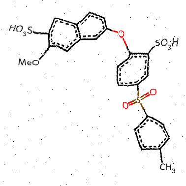 COc1cc2cc(Oc3ccc(S(=O)(=O)c4ccc(C)cc4)cc3S(=O)(=O)O)ccc2cc1S(=O)(=O)O